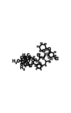 COC(=O)c1ccc(CCC[C@@H]2[C@H](C=CC(=O)CCC[C@@H](C)O[Si](C)(C)C(C)(C)C)[C@H](OC3CCCCO3)C[C@@H]2Cl)s1